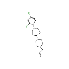 C=CC[C@H]1CC[C@H](C2CC=C(c3ccc(F)cc3F)CC2)CC1